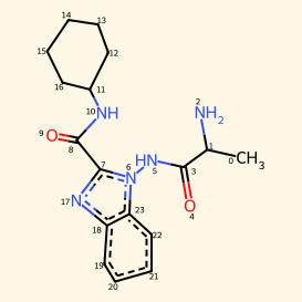 CC(N)C(=O)Nn1c(C(=O)NC2CCCCC2)nc2ccccc21